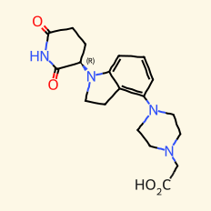 O=C(O)CN1CCN(c2cccc3c2CCN3[C@@H]2CCC(=O)NC2=O)CC1